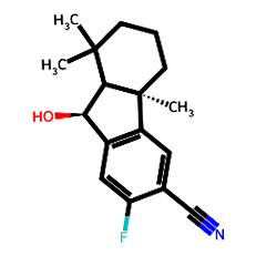 CC1(C)CCC[C@@]2(C)c3cc(C#N)c(F)cc3[C@@H](O)C12